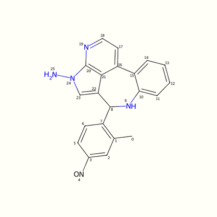 Cc1cc(N=O)ccc1C1Nc2ccccc2-c2ccnc3c2c1cn3N